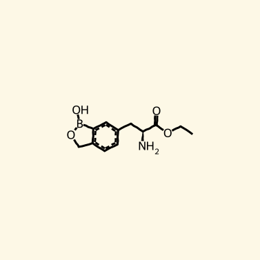 CCOC(=O)[C@@H](N)Cc1ccc2c(c1)B(O)OC2